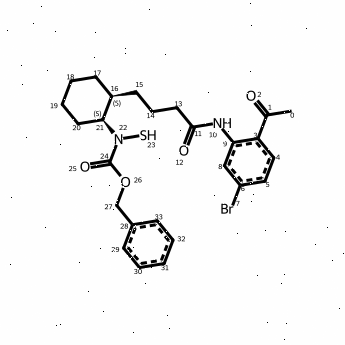 CC(=O)c1ccc(Br)cc1NC(=O)CCC[C@@H]1CCCC[C@@H]1N(S)C(=O)OCc1ccccc1